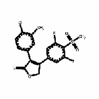 Cc1cc(C2=C(c3cc(F)c(S(C)(=O)=O)c(F)c3)COC2=O)ccc1Cl